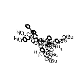 Cc1cc(C[C@H](NC(=O)[C@H](Cc2ccccc2)NC(=O)[C@H](CC(=O)OC(C)(C)C)NC(=O)[C@@H](N)Cc2ccc(OCC(=O)OC(C)(C)C)cc2)C(=O)N[C@@H](Cc2ccc(-c3ccccc3)cc2)C(=O)N[C@@H](Cc2ccc(O)cc2)C(=O)O)ccc1OCC(=O)OC(C)(C)C